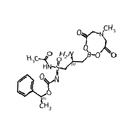 CC(=O)NS(=O)(C[C@@H](N)CB1OC(=O)CN(C)CC(=O)O1)=NC(=O)O[C@@H](C)c1ccccc1